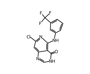 O=c1[nH]cnc2cc(Cl)nc(Nc3cccc(C(F)(F)F)c3)c12